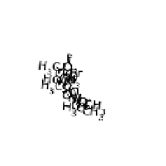 CC(C)c1cc(F)cc(Br)c1CC(=O)N1C=C(S(=O)(=O)N=NC(=O)OC(C)(C)C)SC1C(C)(C)O